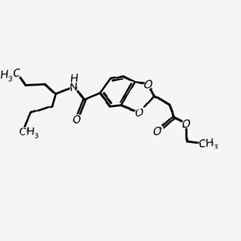 CCCC(CCC)NC(=O)c1ccc2c(c1)OC(CC(=O)OCC)O2